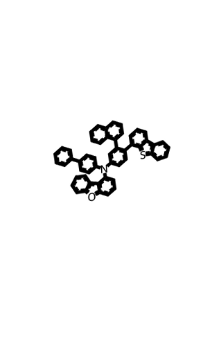 c1ccc(-c2ccc(N(c3ccc(-c4cccc5c4sc4ccccc45)c(-c4cccc5ccccc45)c3)c3cccc4oc5ccccc5c34)cc2)cc1